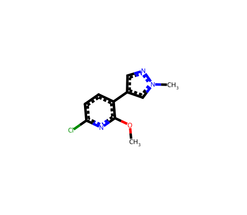 COc1nc(Cl)ccc1-c1cnn(C)c1